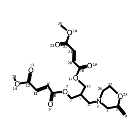 C=C1CN(CC(COC(=O)/C=C/C(=O)OC)COC(=O)/C=C/C(=O)OC)CCO1